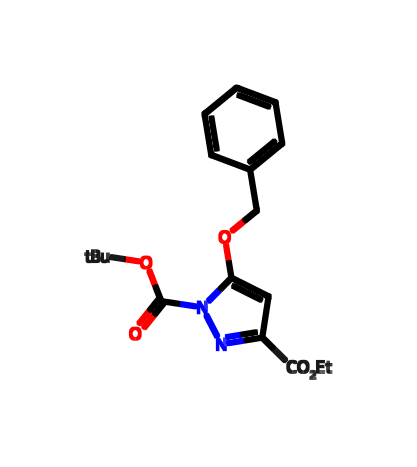 CCOC(=O)c1cc(OCc2ccccc2)n(C(=O)OC(C)(C)C)n1